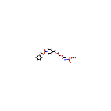 CC(C)(C)OC(=O)NCCOCCOCC1CCN(C(=O)OCc2ccccc2)CC1